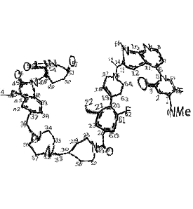 CNc1cc(=O)n(-c2ccnc3c2cc([C@H](C)N2CC=C(c4c(C)cc(C(=O)N5CCC(CN6CCN(Cc7ccc8c(c7)n(C)c(=O)n8[C@@H]7CCC(=O)NC7=O)CC6)CC5)cc4F)CC2)n3C)cc1F